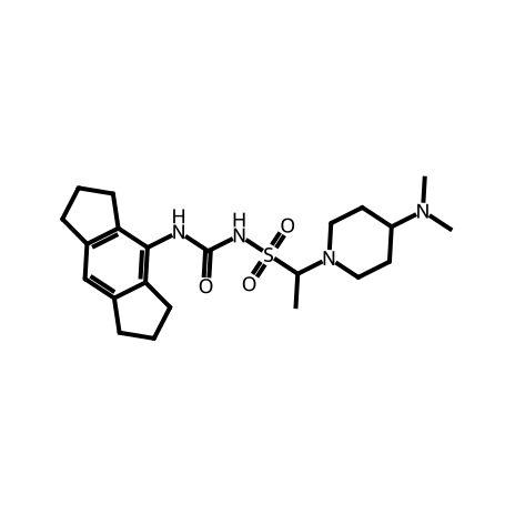 CC(N1CCC(N(C)C)CC1)S(=O)(=O)NC(=O)Nc1c2c(cc3c1CCC3)CCC2